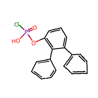 O=P(O)(Cl)Oc1cccc(-c2ccccc2)c1-c1ccccc1